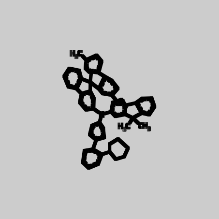 Cc1ccc2c(c1)C1(c3ccccc3-c3ccc(N(c4ccc(-c5ccccc5C5CCCCC5)cc4)c4ccc5c(c4)C(C)(C)c4ccccc4-5)cc31)c1cc(C)ccc1-2